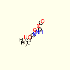 CCC(CC)CC1(O)CCN(C(=O)Nc2cccc(OC3CCOCC3)c2)CC1